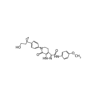 COc1ccc(NC(=O)c2n[nH]c3c2CCN(c2ccc(C4(CCO)CC4)cc2)C3=O)cc1